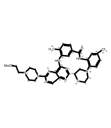 COCCN1CCN(c2ncc3ncnc(Nc4cc(C(=O)Nc5cc(C(F)(F)F)ccc5N5CCOCC5)ccc4C)c3n2)CC1